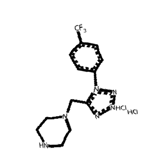 Cl.Cl.FC(F)(F)c1ccc(-n2nnnc2CN2CCNCC2)cc1